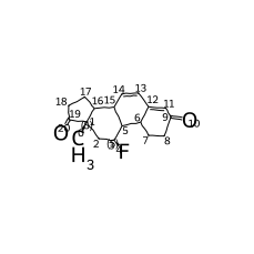 C[C@]12C[C@H](F)C3C4CCC(=O)C=C4C=CC3C1CCC2=O